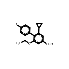 O=Cc1cc(OCC(F)(F)F)c(-c2ccc(F)cc2)c(C2CC2)c1